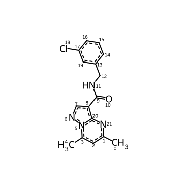 Cc1cc(C)n2ncc(C(=O)NCc3cccc(Cl)c3)c2n1